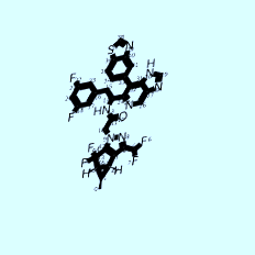 C[C@@H]1[C@@H]2c3c(C(F)F)nn(CC(=O)NC(Cc4cc(F)cc(F)c4)c4ncc5nc[nH]c5c4-c4ccc5scnc5c4)c3C(F)(F)[C@H]12